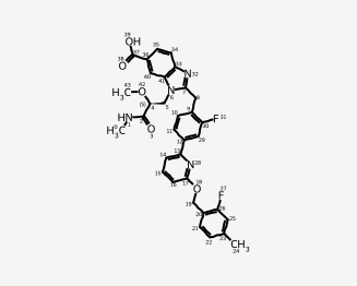 CNC(=O)[C@H](Cn1c(Cc2ccc(-c3cccc(OCc4ccc(C)cc4F)n3)cc2F)nc2ccc(C(=O)O)cc21)OC